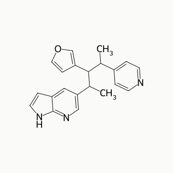 CC(c1ccncc1)C(c1ccoc1)C(C)c1cnc2[nH]ccc2c1